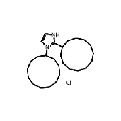 [Cl-].c1c[n+](C2CCCCCCCCCCC2)c(C2CCCCCCCCCCC2)[nH]1